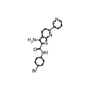 Nc1c(C(=O)Nc2ccc(Br)cc2)sc2nc(-c3cccnc3)ccc12